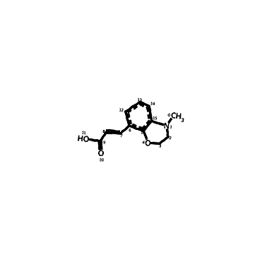 CN1CCOc2c(/C=C/C(=O)O)cccc21